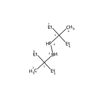 CCC(C)(BPC(C)(CC)CC)CC